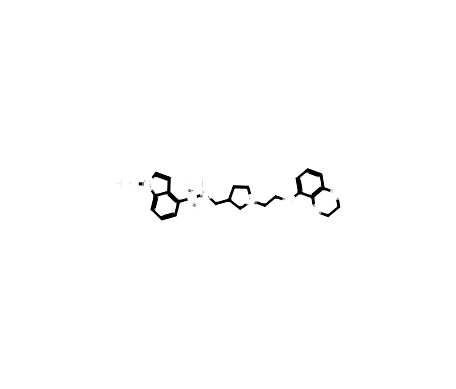 Cn1ccc2c(S(=O)(=O)NCC3CCN(CCOc4cccc5c4OCCO5)C3)cccc21